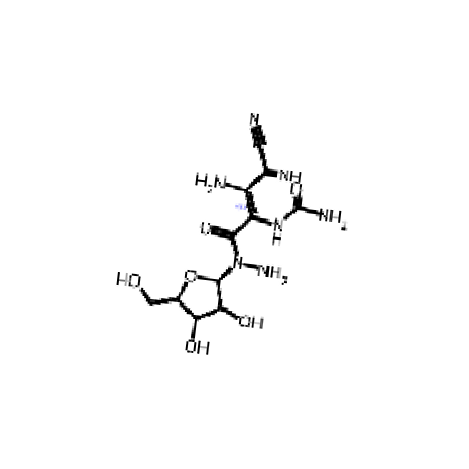 N#CC(=N)/C(N)=C(\NC(N)=O)C(=O)N(N)C1OC(CO)C(O)C1O